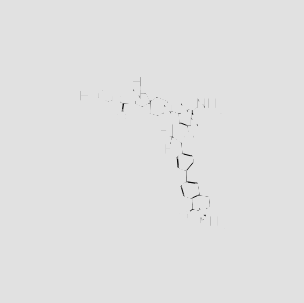 CCOC(=O)[C@@H]1CC2(CCN(c3cc(O[C@H](c4ccc(-c5ccc6c(c5)CCN(C)C6=O)cc4)C(F)(F)F)nc(N)n3)CC2)CN1